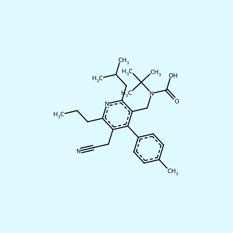 CCCc1nc(CC(C)C)c(CN(C(=O)O)C(C)(C)C)c(-c2ccc(C)cc2)c1CC#N